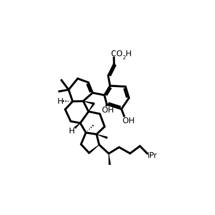 CC(C)CCC[C@@H](C)[C@H]1CC[C@@]2(C)[C@@H]3CC[C@H]4C(C)(C)CC=C(c5c(/C=C/C(=O)O)ccc(O)c5O)[C@@]45C[C@@]35CC[C@]12C